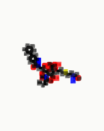 CC(=O)N[C@H]1[C@H]([C@H](O)[C@H](O)CNC(=O)c2ccc(-c3ccccc3)cc2)O[C@@](OCCCSCCNC=O)(C(=O)O)C[C@@H]1O